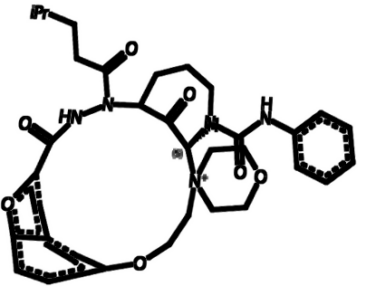 CC(C)CCC(=O)N1NC(=O)c2cc3cc(ccc3o2)OCC[N+]2(CCOCC2)[C@H]2C(=O)C1CCCN2C(=O)Nc1ccccc1